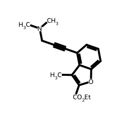 CCOC(=O)c1oc2cccc(C#CCN(C)C)c2c1C